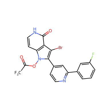 O=C(On1c(-c2ccnc(-c3cccc(F)c3)c2)c(Br)c2c(=O)[nH]ccc21)C(F)(F)F